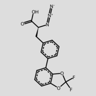 [N-]=[N+]=N[C@@H](Cc1cccc(-c2cccc3c2OC(F)(F)O3)c1)C(=O)O